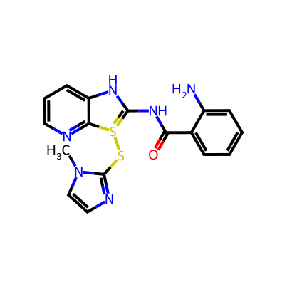 Cn1ccnc1SS1=C(NC(=O)c2ccccc2N)Nc2cccnc21